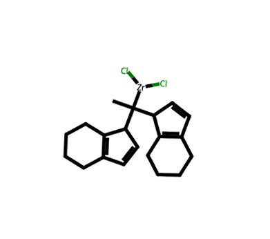 C[C](C1C=CC2=C1CCCC2)(C1C=CC2=C1CCCC2)[Zr]([Cl])[Cl]